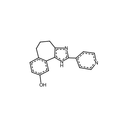 Oc1ccc2c(c1)-c1[nH]c(-c3ccncc3)nc1CCC2